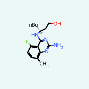 CCCC[C@H](CCO)Nc1nc(N)nc2c(C)ccc(F)c12